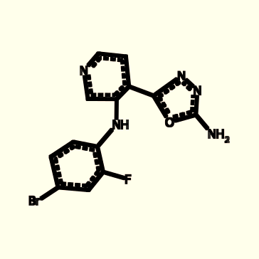 Nc1nnc(-c2ccncc2Nc2ccc(Br)cc2F)o1